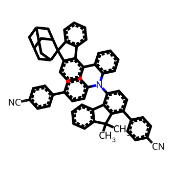 CC1(C)c2ccccc2-c2c(N(c3ccc(-c4ccc(C#N)cc4)cc3)c3ccccc3-c3cccc4c3-c3ccccc3C43C4CC5CC(C4)CC3C5)ccc(-c3ccc(C#N)cc3)c21